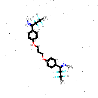 CN=C(c1ccc(OCCCOc2ccc(C(=NC)C(F)(F)C(F)(F)C(F)(F)F)cc2)cc1)C(F)(F)C(F)(F)C(F)(F)F